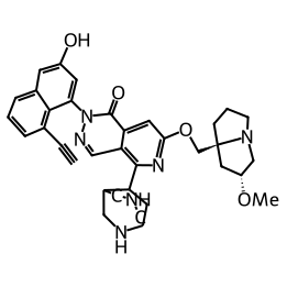 C#Cc1cccc2cc(O)cc(-n3ncc4c(C5CC6CNCC5CN6)nc(OC[C@@]56CCCN5C[C@H](OC)C6)cc4c3=O)c12